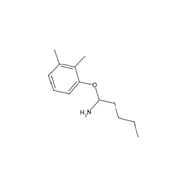 CCCCC(N)Oc1cccc(C)c1C